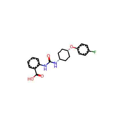 O=C(Nc1ccccc1C(=O)O)N[C@H]1CC[C@@H](Oc2ccc(F)cc2)CC1